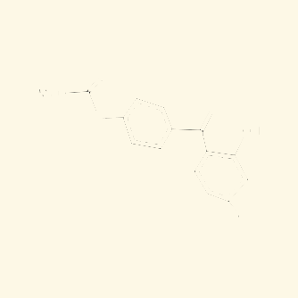 COC(=O)Oc1ccc(C(=O)c2ccc(C)cc2O)cc1